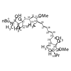 CCCCN(C)C(=O)C(=O)C1(O)C[C@@H](CC(OC)/C(C)=C/C=C/C=C/[C@H](C)C[C@@H](C)C(=O)C(OC)[C@H](O)C(C)C)CC[C@H]1C